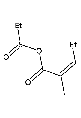 CCC=C(C)C(=O)OS(=O)CC